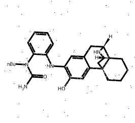 CCCCN(C(N)=O)c1ccccc1Nc1cc2c(cc1O)[C@@]13CCCC[C@H]1[C@@H](C2)NCC3